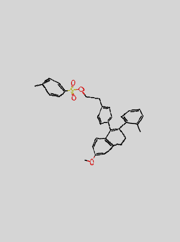 COc1ccc2c(c1)CCC(c1ccccc1C)=C2c1ccc(CCOS(=O)(=O)c2ccc(C)cc2)cc1